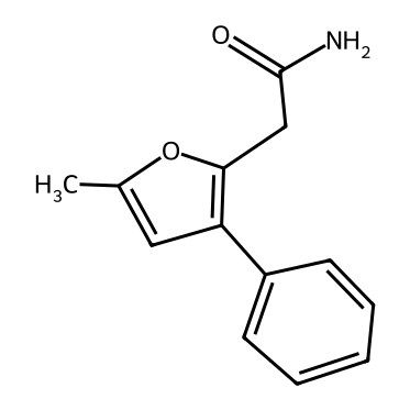 Cc1cc(-c2ccccc2)c(CC(N)=O)o1